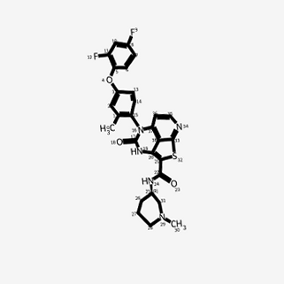 Cc1cc(Oc2ccc(F)cc2F)ccc1N1C(=O)Nc2c(C(=O)N[C@@H]3CCCN(C)C3)sc3nccc1c23